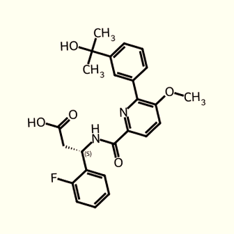 COc1ccc(C(=O)N[C@@H](CC(=O)O)c2ccccc2F)nc1-c1cccc(C(C)(C)O)c1